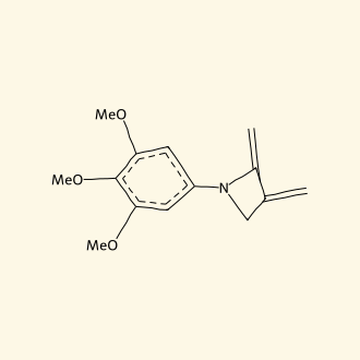 C=C1CN(c2cc(OC)c(OC)c(OC)c2)C1=C